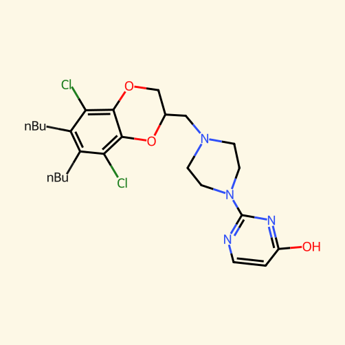 CCCCc1c(Cl)c2c(c(Cl)c1CCCC)OC(CN1CCN(c3nccc(O)n3)CC1)CO2